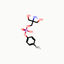 NC(CO)(CO)COP(=O)(O)Oc1ccc([N+](=O)[O-])cc1